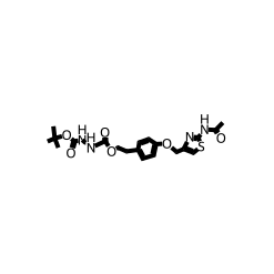 CC(=O)Nc1nc(COc2ccc(CCOC(=O)NNC(=O)OC(C)(C)C)cc2)cs1